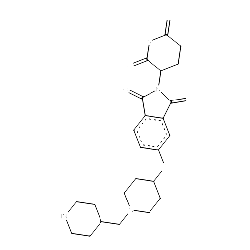 O=C1CCC(N2C(=O)c3ccc(OC4CCN(CC5CCNCC5)CC4)cc3C2=O)C(=O)N1